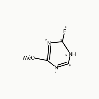 COC1=N[C](F)NC=N1